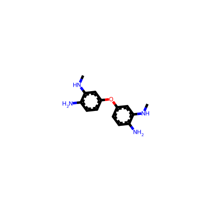 CNc1cc(Oc2ccc(N)c(NC)c2)ccc1N